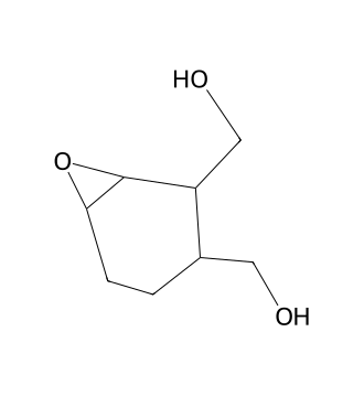 OCC1CCC2OC2C1CO